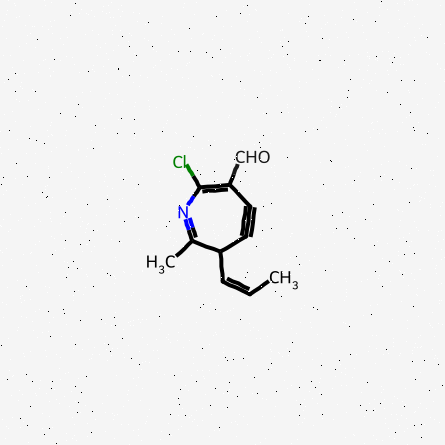 C/C=C\C1C#CC(C=O)=C(Cl)N=C1C